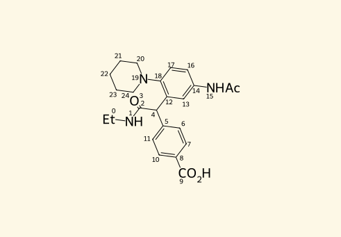 CCNC(=O)C(c1ccc(C(=O)O)cc1)c1cc(NC(C)=O)ccc1N1CCCCC1